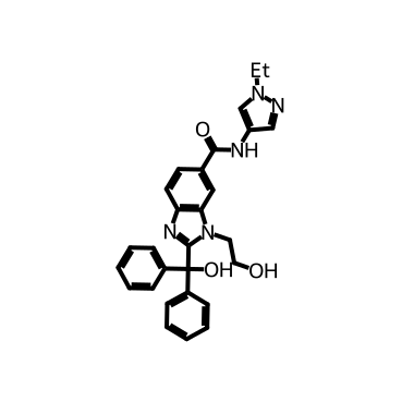 CCn1cc(NC(=O)c2ccc3nc(C(O)(c4ccccc4)c4ccccc4)n(CCO)c3c2)cn1